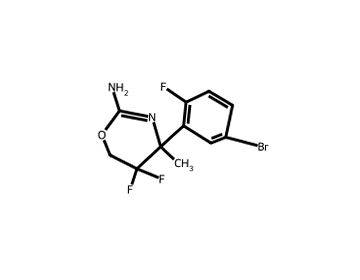 CC1(c2cc(Br)ccc2F)N=C(N)OCC1(F)F